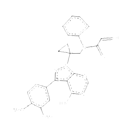 C=CC(=O)N(CC1(n2nc(-c3ccc(OC)c(OC)c3)c3c(N)ncnc32)CC1)c1ccccc1